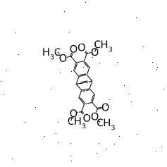 COC(=O)c1cc2c(cc1C(=O)OC)C1C=CC2c2cc(C(=O)OC)c(C(=O)OC)cc21